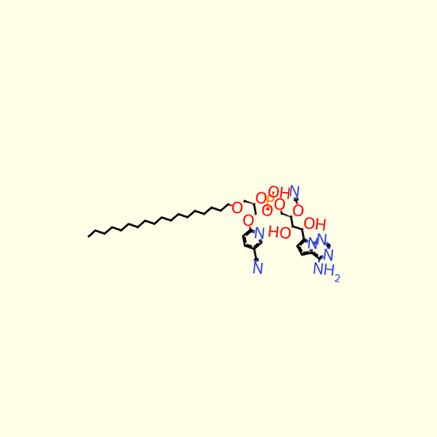 CCCCCCCCCCCCCCCCCCOC[C@H](COc1ccc(C#N)cn1)OP(=O)(O)OC[C@@H](OC#N)[C@@H](O)[C@@H](O)c1ccc2c(N)ncnn12